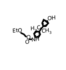 CCOCCCOC(=O)Nc1ccc(C(C)(C)c2ccc(O)cc2)cc1